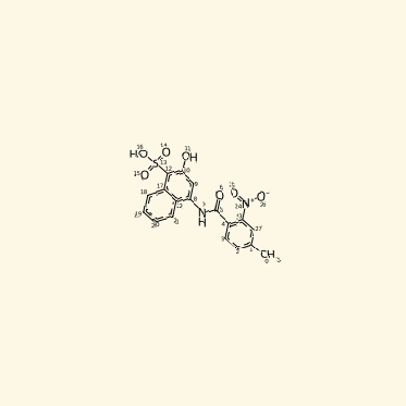 Cc1ccc(C(=O)Nc2cc(O)c(S(=O)(=O)O)c3ccccc23)c([N+](=O)[O-])c1